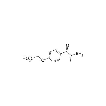 BC(C)C(=O)c1ccc(OCC(=O)O)cc1